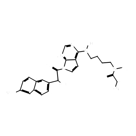 COc1ccc2cc(C(C)C(=O)n3ccc4c(N(C)CCCCN(C)C(=O)CC#N)ncnc43)ccc2c1